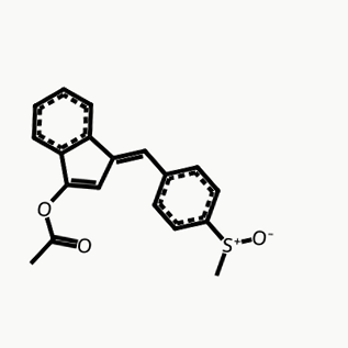 CC(=O)OC1=CC(=Cc2ccc([S+](C)[O-])cc2)c2ccccc21